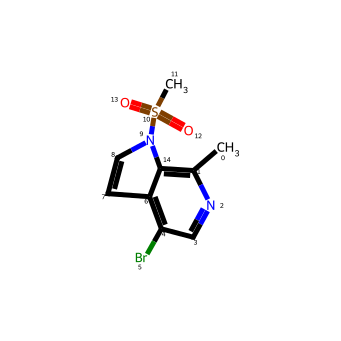 Cc1ncc(Br)c2ccn(S(C)(=O)=O)c12